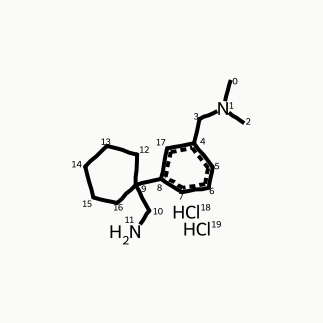 CN(C)Cc1cccc(C2(CN)CCCCC2)c1.Cl.Cl